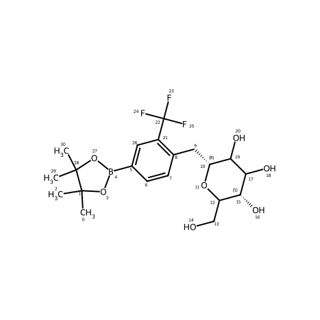 CC1(C)OB(c2ccc(C[C@H]3OC(CO)[C@@H](O)C(O)C3O)c(C(F)(F)F)c2)OC1(C)C